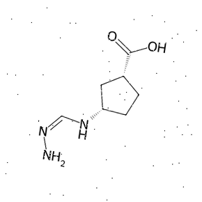 N/N=C\N[C@H]1CC[C@@H](C(=O)O)C1